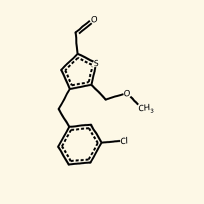 COCc1sc(C=O)cc1Cc1cccc(Cl)c1